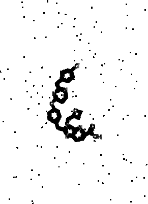 O=C(O)c1ccc2nc(Cc3ccc(Oc4ccnc(Cc5ccc(Cl)cc5)n4)cc3)n(CC3CCO3)c2n1